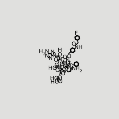 Nc1ccn([C@@H]2O[C@H](COP(=O)(O)O)[C@@H](OP(=O)(O)OC[C@H]3O[C@@H](n4cnc5c(N)ncnc54)[C@H](O)[C@@H]3OC(=O)[C@@H]3C[C@@H](Oc4ccccc4)CN3C(=O)OCc3ccc(NC(=O)Cc4ccc(F)cc4)cc3)[C@H]2O)c(=O)n1